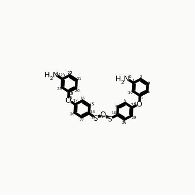 Nc1cccc(Oc2ccc(SOSc3ccc(Oc4cccc(N)c4)cc3)cc2)c1